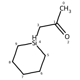 CC(=O)C[SiH]1CCCCC1